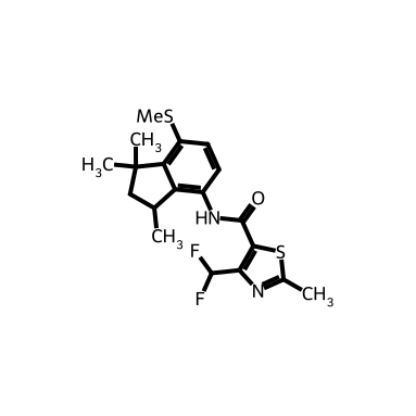 CSc1ccc(NC(=O)c2sc(C)nc2C(F)F)c2c1C(C)(C)CC2C